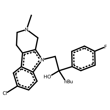 CCCCC(O)(Cn1c2c(c3cc(Cl)ccc31)CCN(C)C2)c1ccc(F)cc1